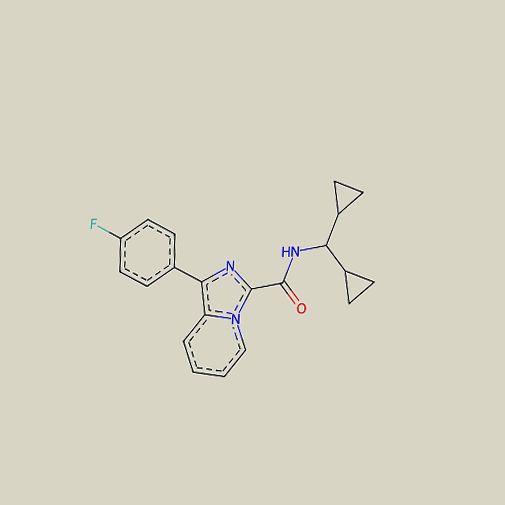 O=C(NC(C1CC1)C1CC1)c1nc(-c2ccc(F)cc2)c2ccccn12